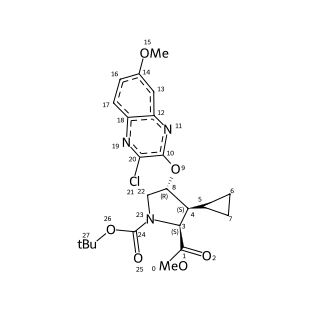 COC(=O)[C@@H]1[C@H](C2CC2)[C@@H](Oc2nc3cc(OC)ccc3nc2Cl)CN1C(=O)OC(C)(C)C